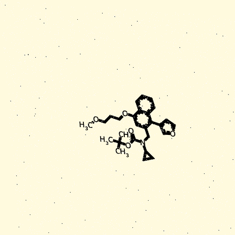 COCCCOc1cc(CN(C(=O)OC(C)(C)C)C2CC2)c(-c2ccoc2)c2ccccc12